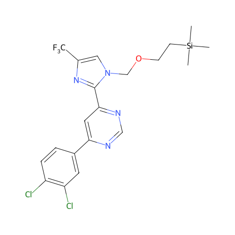 C[Si](C)(C)CCOCn1cc(C(F)(F)F)nc1-c1cc(-c2ccc(Cl)c(Cl)c2)ncn1